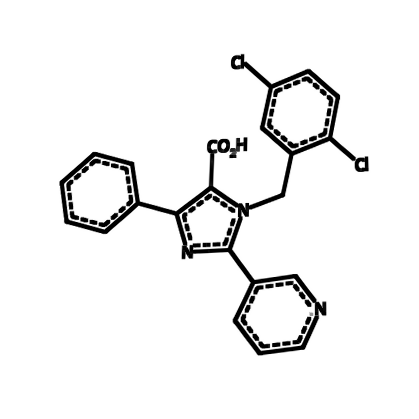 O=C(O)c1c(-c2ccccc2)nc(-c2cccnc2)n1Cc1cc(Cl)ccc1Cl